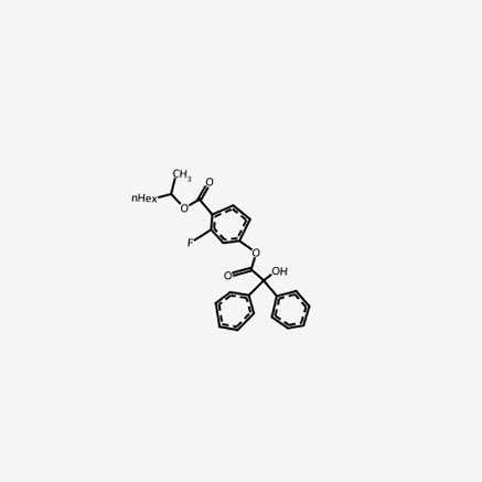 CCCCCCC(C)OC(=O)c1ccc(OC(=O)C(O)(c2ccccc2)c2ccccc2)cc1F